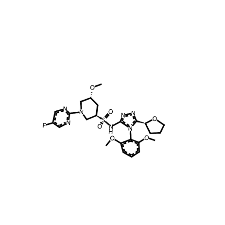 COc1cccc(OC)c1-n1c(NS(=O)(=O)[C@@H]2C[C@@H](OC)CN(c3ncc(F)cn3)C2)nnc1[C@@H]1CCCO1